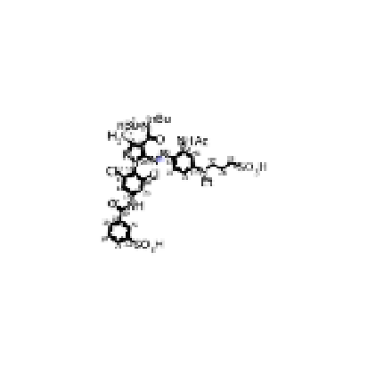 CCCCN(CCCC)C(=O)c1c(C)nn(-c2c(Cl)cc(NC(=O)c3cccc(S(=O)(=O)O)c3)cc2Cl)c1/N=N/c1ccc(N(CC)CCCS(=O)(=O)O)cc1NC(C)=O